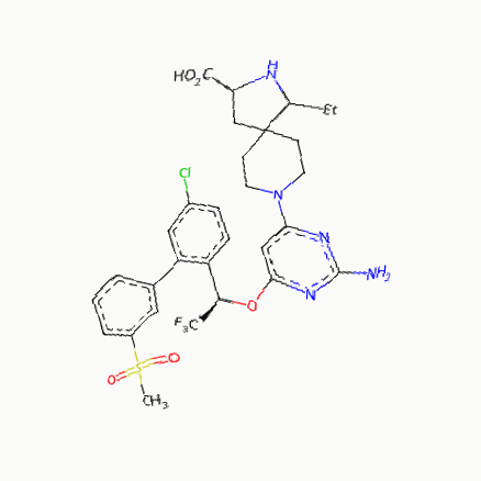 CCC1NC(C(=O)O)CC12CCN(c1cc(O[C@H](c3ccc(Cl)cc3-c3cccc(S(C)(=O)=O)c3)C(F)(F)F)nc(N)n1)CC2